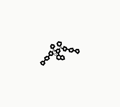 c1ccc(-c2ccc(-c3ccc(N(c4ccccc4)c4cc(N(c5ccccc5)c5ccc(-c6ccc(-c7ccccc7)cc6)cc5)c5oc6ccc7ccccc7c6c5c4)cc3)cc2)cc1